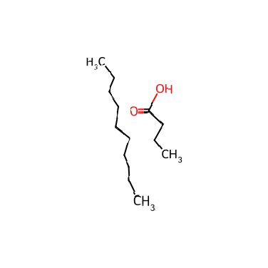 CCCC(=O)O.CCCCCCCCCC